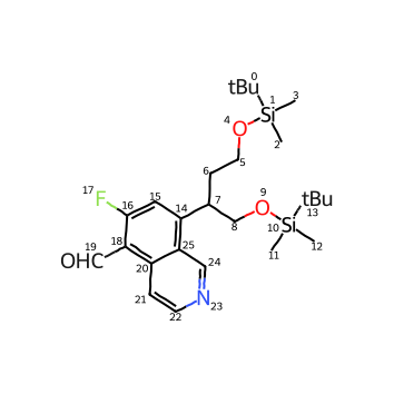 CC(C)(C)[Si](C)(C)OCCC(CO[Si](C)(C)C(C)(C)C)c1cc(F)c(C=O)c2ccncc12